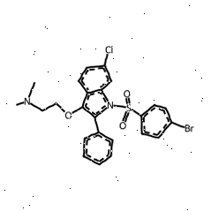 CN(C)CCOc1c(-c2ccccc2)n(S(=O)(=O)c2ccc(Br)cc2)c2cc(Cl)ccc12